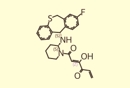 C=CC(=O)/C(O)=C/C(=O)N1CCCC[C@H]1N[C@H]1c2ccc(F)cc2CSc2ccccc21